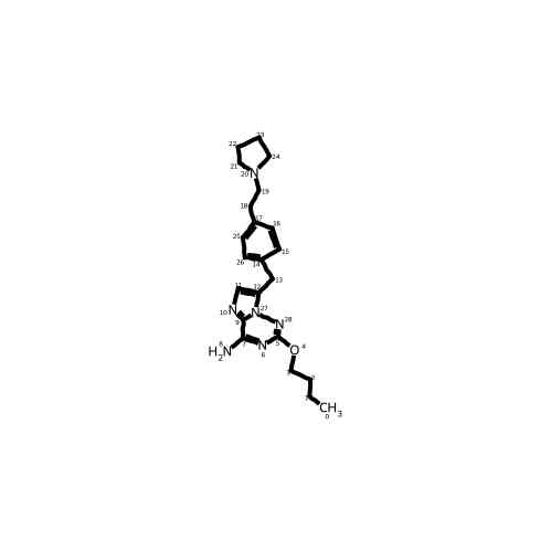 CCCCOc1nc(N)c2ncc(Cc3ccc(CCN4CCCC4)cc3)n2n1